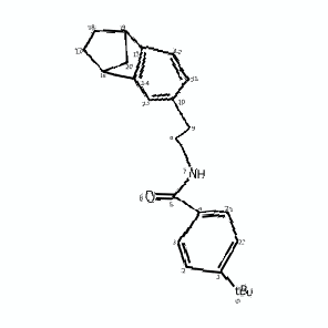 CC(C)(C)c1ccc(C(=O)NCCc2ccc3c(c2)C2CCC3C2)cc1